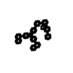 c1ccc(-c2ccc3c(c2)oc2c(-c4cccc(-c5ccc(N(c6ccc(-c7cccc8ccccc78)cc6)c6ccc(-c7cccc8ccccc78)cc6)cc5)c4)cccc23)cc1